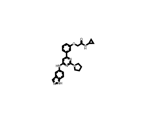 O=C(COc1cccc(-c2cc(Nc3ccc4[nH]ncc4c3)nc(N3CCCC3)n2)c1)NC1CC1